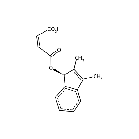 CC1=C(C)[C@H](OC(=O)/C=C\C(=O)O)c2ccccc21